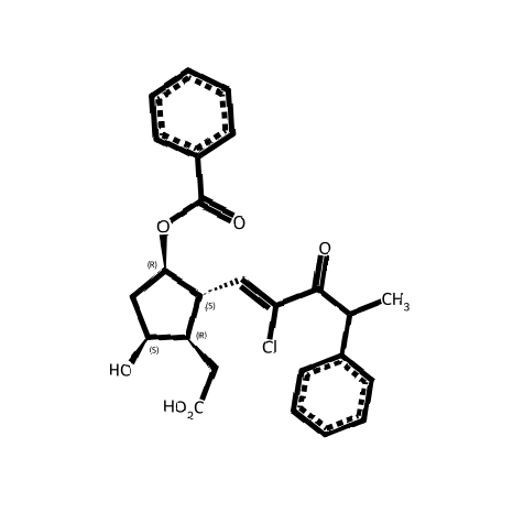 CC(C(=O)C(Cl)=C[C@@H]1[C@@H](CC(=O)O)[C@@H](O)C[C@H]1OC(=O)c1ccccc1)c1ccccc1